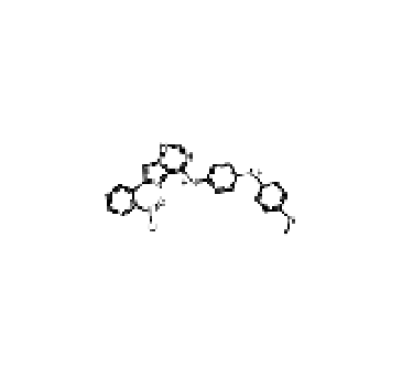 COc1ccc(Nc2ccc(Nc3ncnc4cc(-c5ccccc5[N+](=O)[O-])sc34)cc2)cc1